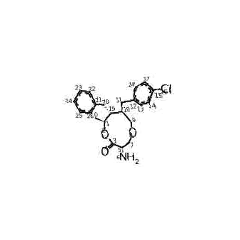 C[C@@H]1OC(=O)[C@@H](N)COC[C@H](Cc2ccc(Cl)cc2)[C@H]1Cc1ccccc1